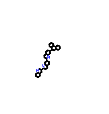 c1ccc2ncc(-c3ccc4ccc(-c5ccc6ccc(-c7cc8ccccc8c8ccccc78)cc6n5)cc4n3)cc2c1